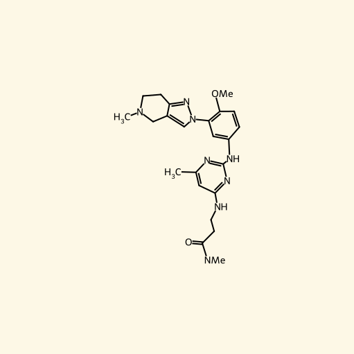 CNC(=O)CCNc1cc(C)nc(Nc2ccc(OC)c(-n3cc4c(n3)CCN(C)C4)c2)n1